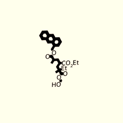 CCOC(=O)C(CC(C)C(=O)OCc1cccc2cc3ccccc3cc12)CC(C)(CC)C(=O)OCO